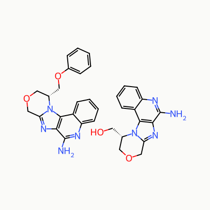 Nc1nc2ccccc2c2c1nc1n2[C@@H](CO)COC1.Nc1nc2ccccc2c2c1nc1n2[C@@H](COc2ccccc2)COC1